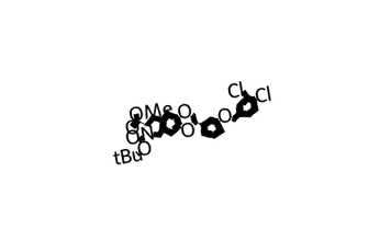 COC(=O)[C@@H]1Cc2cc3c(cc2CN1C(=O)OC(C)(C)C)O[C@@H](c1cccc(OCc2ccc(Cl)c(Cl)c2)c1)CO3